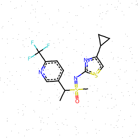 CC(c1ccc(C(F)(F)F)nc1)S(C)(=O)=Nc1nc(C2CC2)cs1